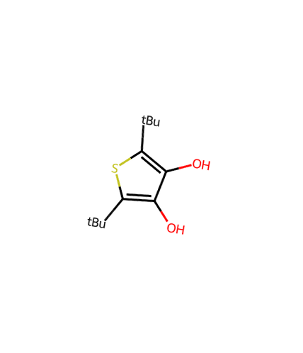 CC(C)(C)c1sc(C(C)(C)C)c(O)c1O